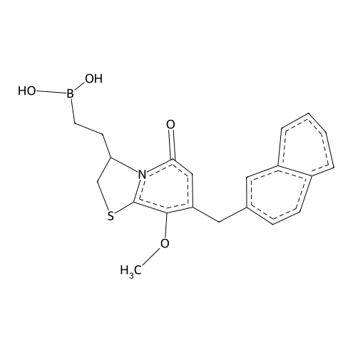 COc1c(Cc2ccc3ccccc3c2)cc(=O)n2c1SCC2CCB(O)O